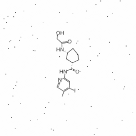 Cc1cnc(NC(=O)[C@H]2CCC[C@@H](NC(=O)CO)C2)cc1I